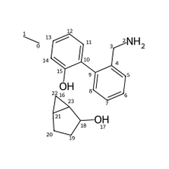 CC.NCc1ccccc1-c1ccccc1O.OC1CCC2CC12